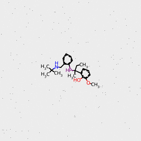 CCC(C)(Pc1ccccc1CNC(C)(C)C)c1cccc(OC)c1O